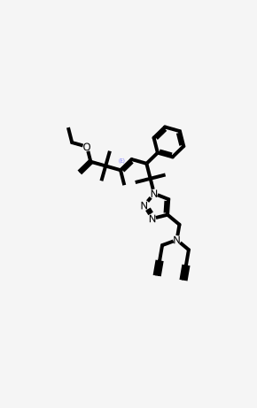 C#CCN(CC#C)Cc1cn(C(C)(C)C(/C=C(\C)C(C)(C)C(=C)OCC)c2ccccc2)nn1